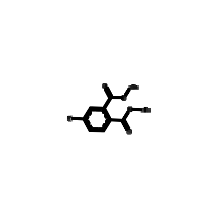 CCCCOC(=O)c1ccc(Cl)cc1C(=O)OCCCC